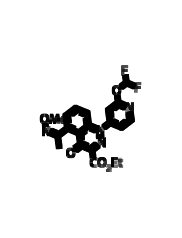 CCOC(=O)c1nn(-c2ccnc(OC(F)F)c2)c2cccc(/C(C)=N\OC)c2c1=O